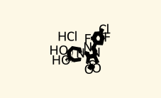 Cl.O=S1(=O)Cc2nc(-c3cc(F)c(Cl)cc3F)nc(N3CC[C@@H](O)[C@@H](O)CC3)c2C1